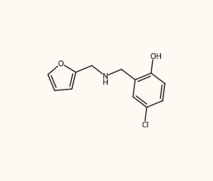 Oc1ccc(Cl)cc1CNCc1ccco1